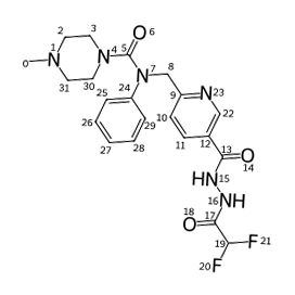 CN1CCN(C(=O)N(Cc2ccc(C(=O)NNC(=O)C(F)F)cn2)c2ccccc2)CC1